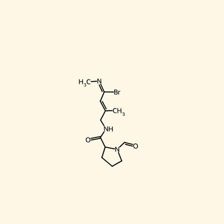 C/N=C(Br)\C=C(/C)CNC(=O)C1CCCN1C=O